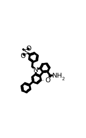 CS(=O)(=O)c1cccc(Cn2c3cc(-c4ccccc4)c[c]c3c3c(C(N)=O)cccc32)c1